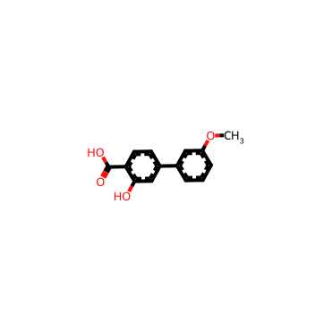 COc1cccc(-c2ccc(C(=O)O)c(O)c2)c1